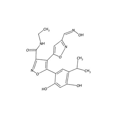 CCNC(=O)c1noc(-c2cc(C(C)C)c(O)cc2O)c1-c1cc(/C=N\O)no1